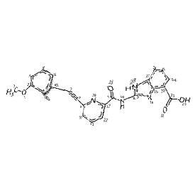 COc1cccc(C#Cc2cccc(C(=O)Nc3nc4c(C(=O)O)cccc4[nH]3)n2)c1